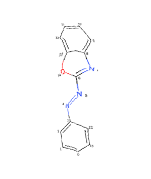 c1ccc(N=Nc2nc3ccccc3o2)cc1